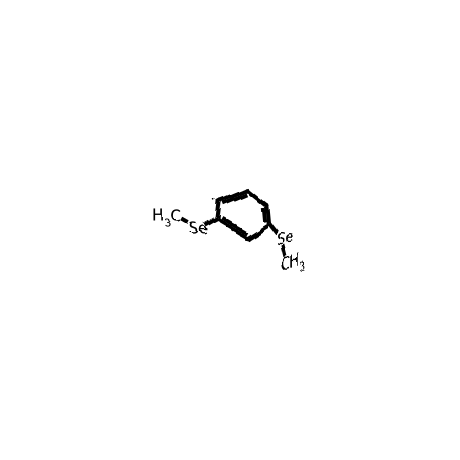 C[Se]c1[c]ccc([Se]C)c1